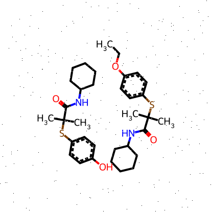 CC(C)(Sc1ccc(O)cc1)C(=O)NC1CCCCC1.CCOc1ccc(SC(C)(C)C(=O)NC2CCCCC2)cc1